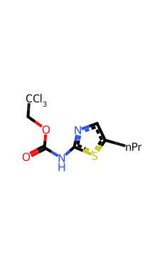 CCCc1cnc(NC(=O)OCC(Cl)(Cl)Cl)s1